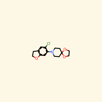 Clc1cc2c(cc1N1CCC3(CC1)OCCO3)OCC2